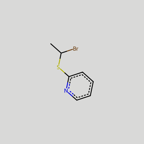 CC(Br)Sc1ccccn1